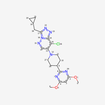 COc1cc(OC)nc(C2CCN(c3cnn4c(CC5CC5)nnc4c3Cl)CC2)n1